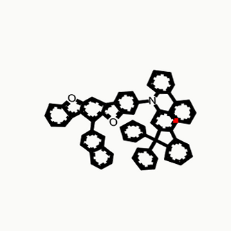 c1ccc(-c2ccccc2N(c2ccc3c(c2)C(c2ccccc2)(c2ccccc2)c2ccccc2-3)c2ccc3c(c2)oc2c(-c4ccc5ccccc5c4)c4c(cc23)oc2ccccc24)cc1